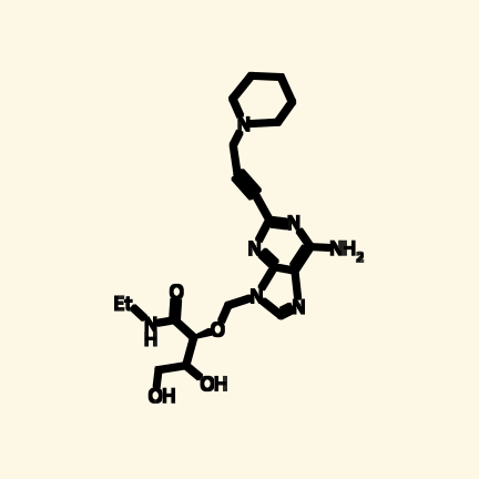 CCNC(=O)[C@@H](OCn1cnc2c(N)nc(C#CCN3CCCCC3)nc21)C(O)CO